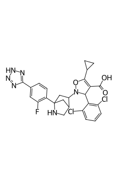 O=C(O)C1=C(C2CC2)ON(C2CC3(c4ccc(-c5nn[nH]n5)cc4F)CC2CN3)C1c1c(Cl)cccc1Cl